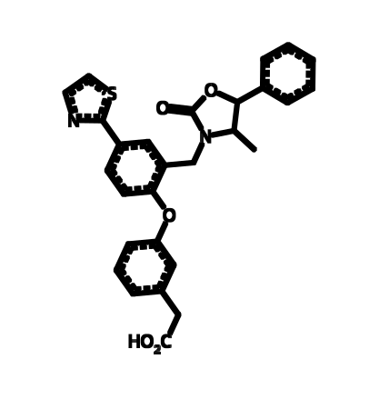 CC1C(c2ccccc2)OC(=O)N1Cc1cc(-c2nccs2)ccc1Oc1cccc(CC(=O)O)c1